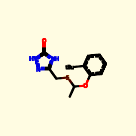 CC(Oc1ccccc1C(C)(C)C)SCc1n[nH]c(=O)[nH]1